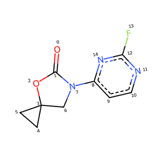 O=C1OC2(CC2)CN1c1ccnc(F)n1